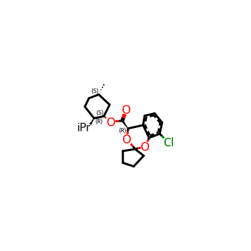 CC(C)[C@H]1CC[C@H](C)C[C@@H]1OC(=O)[C@@H]1OC2(CCCC2)Oc2c(Cl)cccc21